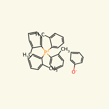 Cc1ccccc1[P+](c1ccccc1C)(c1ccccc1C)c1ccccc1C.[O-]c1ccccc1